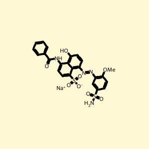 COc1ccc(S(N)(=O)=O)cc1/N=N/c1ccc(O)c2c(NC(=O)c3ccccc3)ccc(S(=O)(=O)[O-])c12.[Na+]